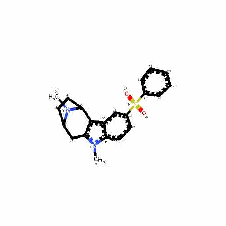 CN1C2CCC1c1c(n(C)c3ccc(S(=O)(=O)c4ccccc4)cc13)C2